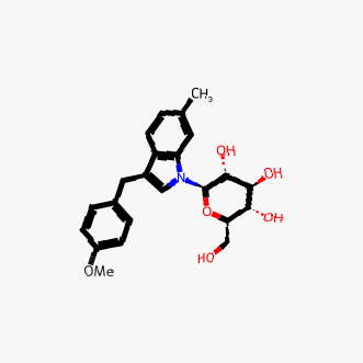 COc1ccc(Cc2cn([C@@H]3O[C@H](CO)[C@@H](O)[C@H](O)[C@H]3O)c3cc(C)ccc23)cc1